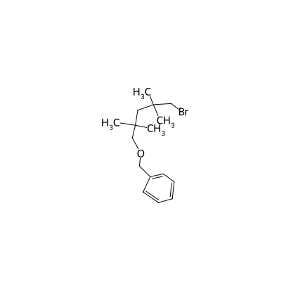 CC(C)(CBr)CC(C)(C)COCc1ccccc1